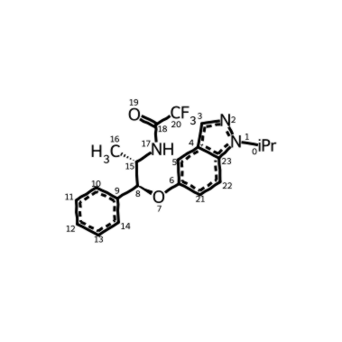 CC(C)n1ncc2cc(O[C@@H](c3ccccc3)[C@H](C)NC(=O)C(F)(F)F)ccc21